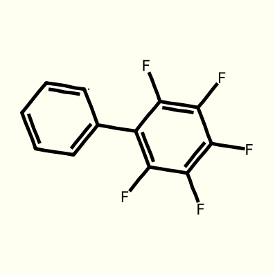 Fc1c(F)c(F)c(-c2[c]cccc2)c(F)c1F